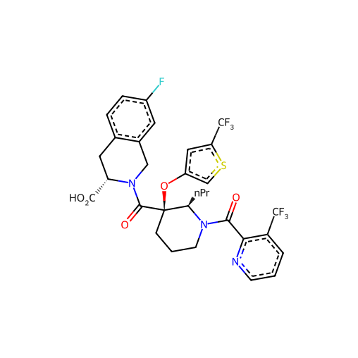 CCC[C@H]1N(C(=O)c2ncccc2C(F)(F)F)CCC[C@]1(Oc1csc(C(F)(F)F)c1)C(=O)N1Cc2cc(F)ccc2C[C@H]1C(=O)O